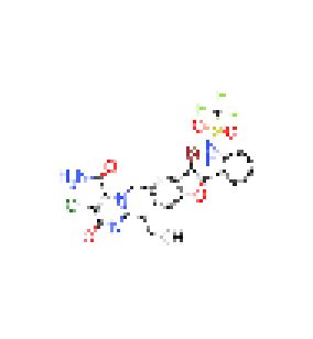 CCCc1nc(=O)c(Cl)c(C(N)=O)n1Cc1ccc2oc(-c3ccccc3NS(=O)(=O)C(F)(F)F)c(Br)c2c1